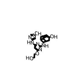 Cn1cnc(Nc2cc(OCCO)nc(NC3C4CC5CC3CC(O)(C5)C4)n2)c1